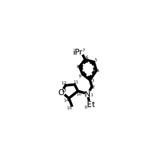 CCN(Cc1ccc(C(C)C)cc1)C1CCOC1C